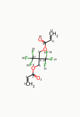 C=CC(=O)OCC(COC(=O)C=C)(C(F)(F)F)C(F)(F)F